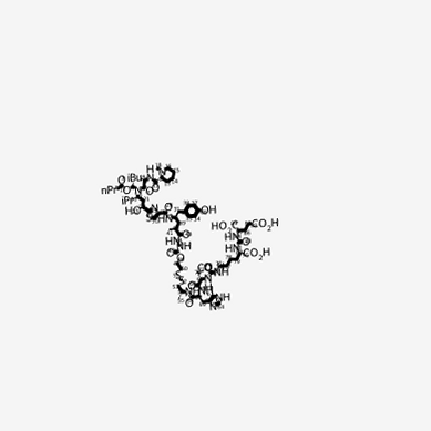 CCCC(=O)OCN(C(=O)[C@@H](NC(=O)[C@H]1CCCCN1C)C(C)CC)[C@H](C[C@@H](O)c1nc(C(=O)N[C@@H](Cc2ccc(O)cc2)C[C@H](C)C(=O)NNC(=O)OCCSSC[C@@H](C)NC(=O)[C@H](Cc2c[nH]cn2)NC(=O)[C@H](CC(=O)O)NC(=O)NCCCC[C@H](NC(=O)N[C@@H](CCC(=O)O)C(=O)O)C(=O)O)cs1)C(C)C